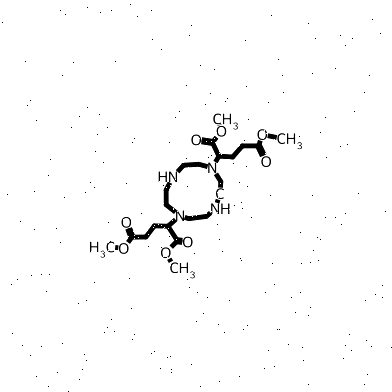 COC(=O)CCC(C(=O)OC)N1CCNCCN(C(CCC(=O)OC)C(=O)OC)CCNCC1